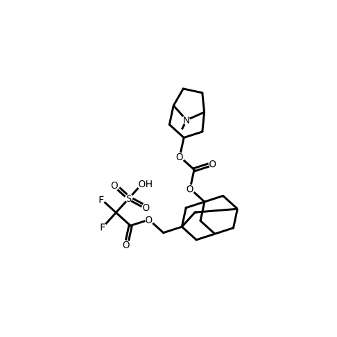 CN1C2CCC1CC(OC(=O)OC13CC4CC(CC(COC(=O)C(F)(F)S(=O)(=O)O)(C4)C1)C3)C2